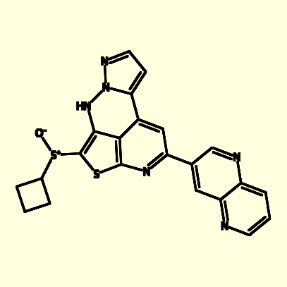 [O-][S+](c1sc2nc(-c3cnc4cccnc4c3)cc3c2c1[nH]n1nccc31)C1CCC1